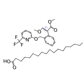 CCCCCCCCCCCCCCCCCC(=O)O.CO/C=C(/C(=O)OC)c1ccccc1COc1cccc(C(F)(F)F)n1